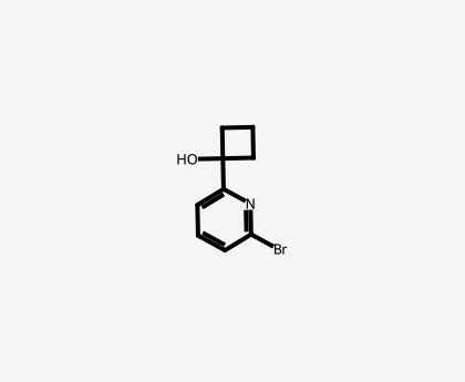 OC1(c2cccc(Br)n2)CCC1